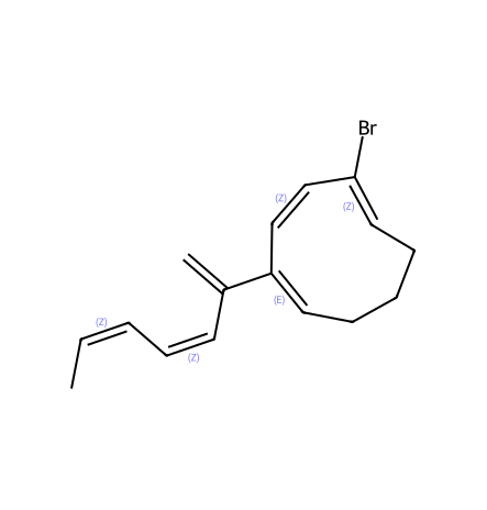 C=C(/C=C\C=C/C)C1=C/CCC/C=C(Br)/C=C\1